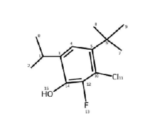 CC(C)c1cc(C(C)(C)C)c(Cl)c(F)c1O